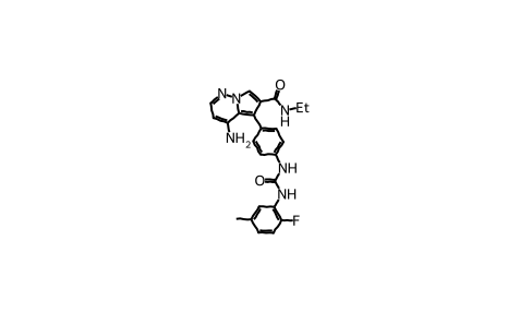 CCNC(=O)c1cn2nccc(N)c2c1-c1ccc(NC(=O)Nc2cc(C)ccc2F)cc1